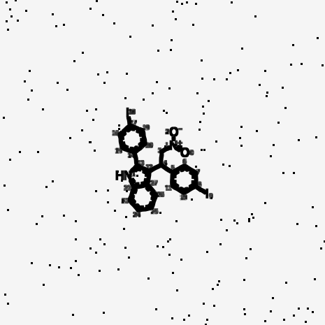 O=[N+]([O-])CC(c1ccc(I)cc1)c1c(-c2ccc(I)cc2)[nH]c2ccccc12